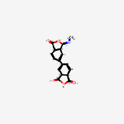 C/N=C1\OC(=O)C2C=CC(C3=CC4C(=O)OC(=O)C4C=C3)=CC12